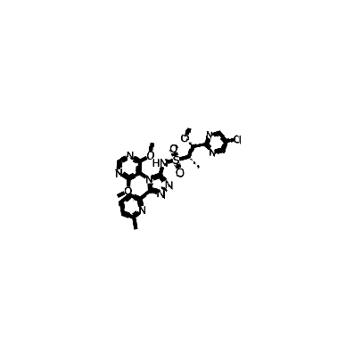 COc1ncnc(OC)c1-n1c(NS(=O)(=O)[C@@H](C)[C@H](OC)c2ncc(Cl)cn2)nnc1-c1cccc(C)n1